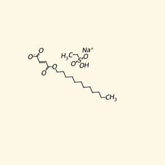 CCCCCCCCCCCCOC(=O)C=CC(=O)[O-].CCS(=O)(=O)O.[Na+]